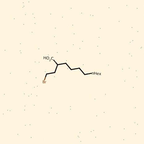 CCCCCCCCCCC(CCBr)C(=O)O